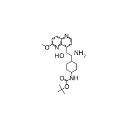 COc1ccc2nccc([C@@H](O)[C@H](N)C3CCC(NC(=O)OC(C)(C)C)CC3)c2n1